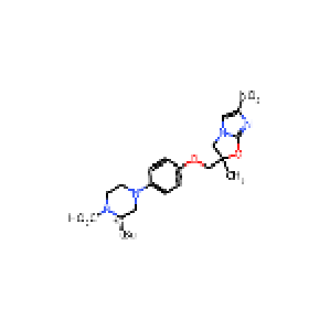 CC1(COc2ccc(N3CCN(C(=O)O)[C@H](C(C)(C)C)C3)cc2)Cn2cc([N+](=O)[O-])nc2O1